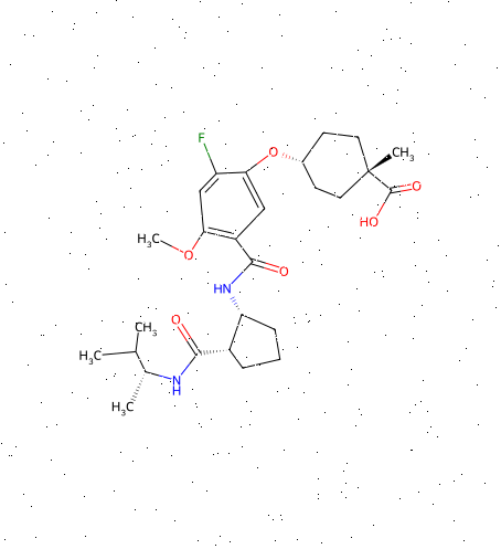 COc1cc(F)c(O[C@H]2CC[C@@](C)(C(=O)O)CC2)cc1C(=O)N[C@@H]1CCC[C@@H]1C(=O)N[C@H](C)C(C)C